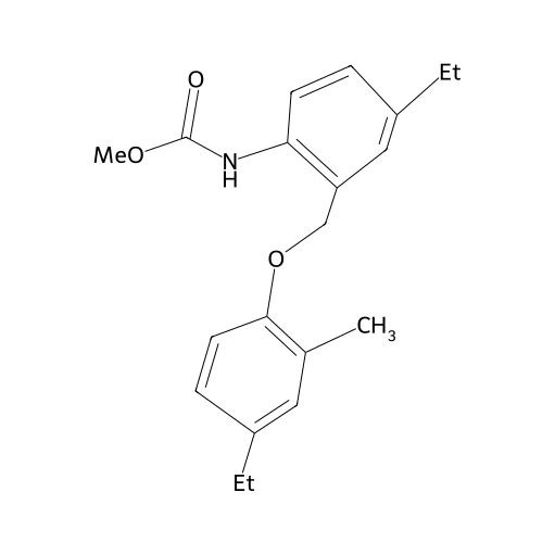 CCc1ccc(OCc2cc(CC)ccc2NC(=O)OC)c(C)c1